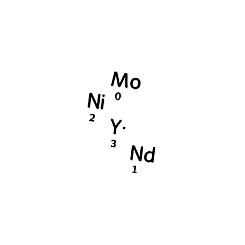 [Mo].[Nd].[Ni].[Y]